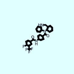 O=C(Nc1ccc(C(=O)N2c3ccccc3CNc3ccccc32)cc1)c1ccc(F)c(C(F)(F)F)c1